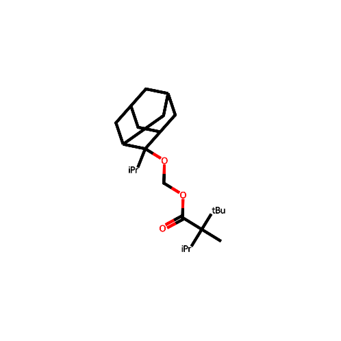 CC(C)C1(OCOC(=O)C(C)(C(C)C)C(C)(C)C)C2CC3CC(C2)CC1C3